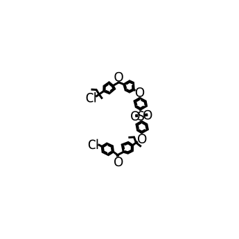 CCC(C)(Cl)c1ccc(C(=O)c2ccc(Oc3ccc(S(=O)(=O)c4ccc(OC(C)(CC)c5ccc(C(=O)c6ccc(Cl)cc6)cc5)cc4)cc3)cc2)cc1